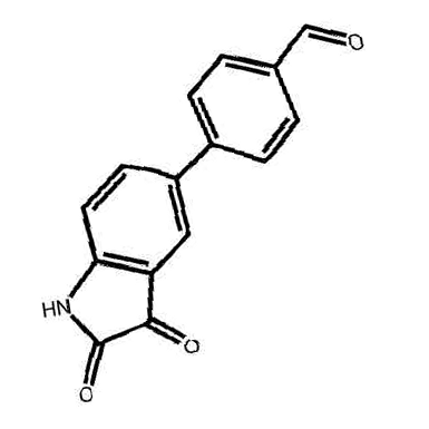 O=Cc1ccc(-c2ccc3c(c2)C(=O)C(=O)N3)cc1